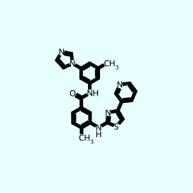 Cc1cc(NC(=O)c2ccc(C)c(Nc3nc(-c4cccnc4)cs3)c2)cc(-n2ccnc2)c1